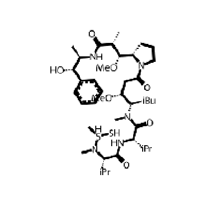 CC[C@H](C)[C@@H]([C@@H](CC(=O)N1CCC[C@H]1[C@H](OC)[C@@H](C)C(=O)N[C@H](C)[C@@H](O)c1ccccc1)OC)N(C)C(=O)[C@@H](NC(=O)[C@H](C(C)C)N(C)[SH](C)S)C(C)C